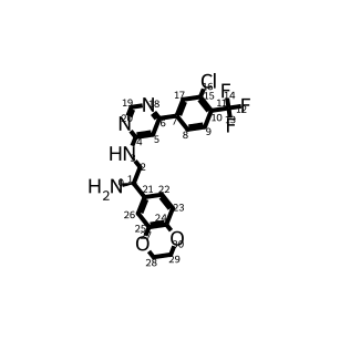 N[C@@H](CNc1cc(-c2ccc(C(F)(F)F)c(Cl)c2)ncn1)c1ccc2c(c1)OCCO2